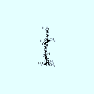 CCC(CC(C)C(=O)NCCOCCNC(=O)CCC(=O)OC1C(CC)OC(C)C1C)C(=O)OCCOCCOC